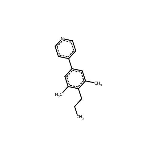 CCCc1c(C)cc(-c2ccncc2)cc1C